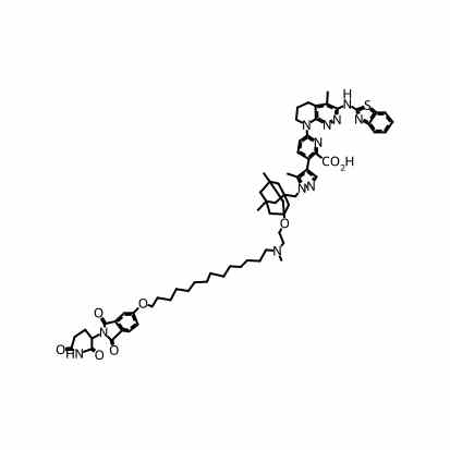 Cc1c(Nc2nc3ccccc3s2)nnc2c1CCCN2c1ccc(-c2cnn(CC34CC5(C)CC(C)(C3)CC(OCCN(C)CCCCCCCCCCCCCCOc3ccc6c(c3)C(=O)N(C3CCC(=O)NC3=O)C6=O)(C5)C4)c2C)c(C(=O)O)n1